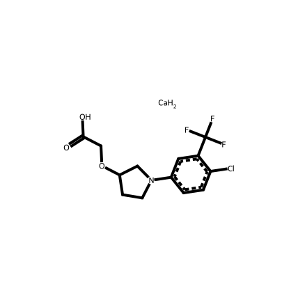 O=C(O)COC1CCN(c2ccc(Cl)c(C(F)(F)F)c2)C1.[CaH2]